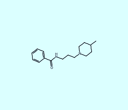 CC1CCN(CCCNC(=O)c2ccccc2)CC1